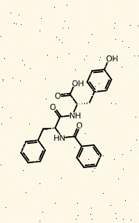 O=C(N[C@@H](Cc1ccccc1)C(=O)N[C@@H](Cc1ccc(O)cc1)C(=O)O)c1ccccc1